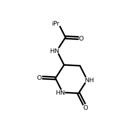 CC(C)C(=O)NC1CNC(=O)NC1=O